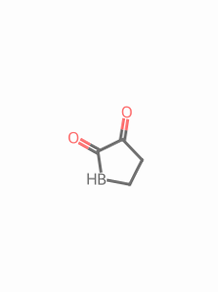 O=C1BCCC1=O